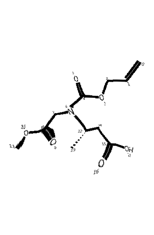 C=CCOC(=O)N(CC(=O)OC)[C@@H](C)CC(=O)O